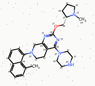 Cc1cccc2cccc(N3CCc4c(nc(OC[C@@H]5CCCN5C)nc4N4CCNCC4)C3)c12